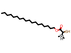 CCCCCCCCCCCCCCCCCCOC(=O)[CH](S)[SnH]([CH3])[CH3]